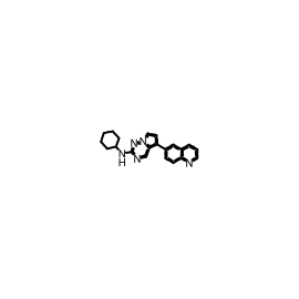 c1cnc2ccc(-c3ccn4nc(NC5CCCCC5)ncc34)cc2c1